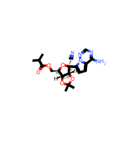 CC(C)C(=O)OC[C@H]1O[C@@](C#N)(c2ccc3c(N)ncnn23)[C@@H]2OC(C)(C)O[C@@H]21